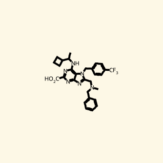 CC(Nc1nc(C(=O)O)nc2nc(CN(C)Cc3ccccc3)n(Cc3ccc(C(F)(F)F)cc3)c12)C1CCC1